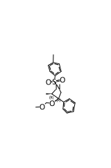 COCO[C@]1(c2ccccc2)CN(S(=O)(=O)c2ccc(C)cc2)[C@@H]1C